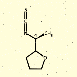 C[C@H](N=C=S)C1CCCO1